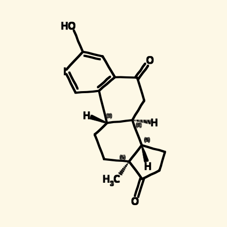 C[C@]12CC[C@@H]3C4=C(C=C(O)I=C4)C(=O)C[C@H]3[C@@H]1CCC2=O